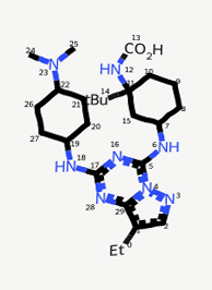 CCc1cnn2c(NC3CCCC(NC(=O)O)(C(C)(C)C)C3)nc(NC3CCC(N(C)C)CC3)nc12